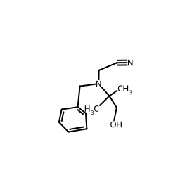 CC(C)(CO)N(CC#N)Cc1ccccc1